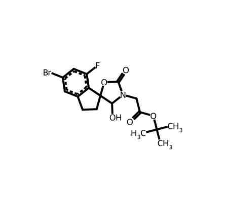 CC(C)(C)OC(=O)CN1C(=O)OC2(CCc3cc(Br)cc(F)c32)C1O